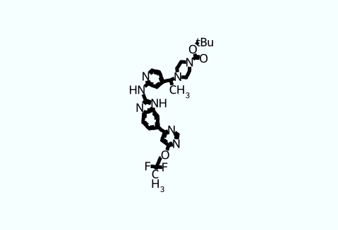 CC(c1ccnc(Nc2nc3ccc(-c4cc(OCC(C)(F)F)ncn4)cc3[nH]2)c1)N1CCN(C(=O)OC(C)(C)C)CC1